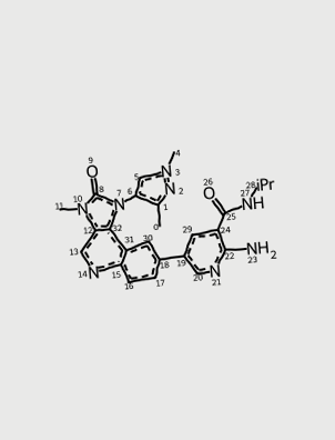 Cc1nn(C)cc1-n1c(=O)n(C)c2cnc3ccc(-c4cnc(N)c(C(=O)NC(C)C)c4)cc3c21